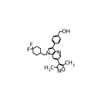 Cc1noc(C)c1-c1cnc2c(-c3ccc(CO)cc3)cn(CC3CCC(F)(F)CC3)c2c1